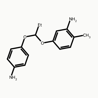 CCC(Oc1ccc(N)cc1)Oc1ccc(C)c(N)c1